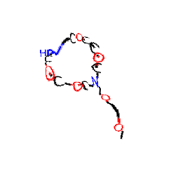 CCOCCOCCN1CCOCCOCCNCCOCCOCC1